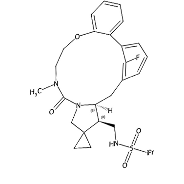 CC(C)S(=O)(=O)NC[C@@H]1[C@@H]2Cc3cccc(c3F)-c3ccccc3OCCN(C)C(=O)N2CC12CC2